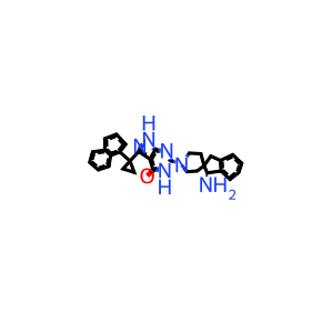 N[C@@H]1c2ccccc2CC12CCN(c1nc3[nH]nc(C4(c5cccc6ccccc56)CC4)c3c(=O)[nH]1)CC2